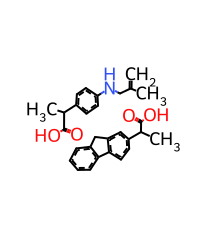 C=C(C)CNc1ccc(C(C)C(=O)O)cc1.CC(C(=O)O)c1ccc2c(c1)Cc1ccccc1-2